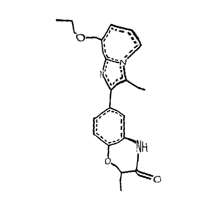 CCOc1cccn2c(C)c(-c3ccc4c(c3)NC(=O)C(C)O4)nc12